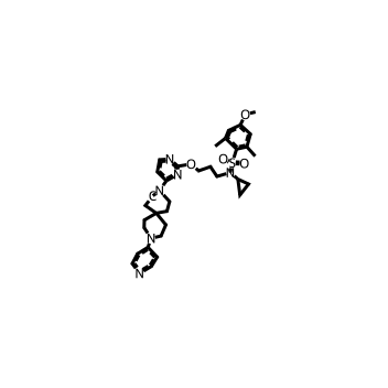 COc1cc(C)c(S(=O)(=O)N(CCCOc2nccc(N3CCC4(CCN(c5ccncc5)CC4)CC3)n2)C2CC2)c(C)c1